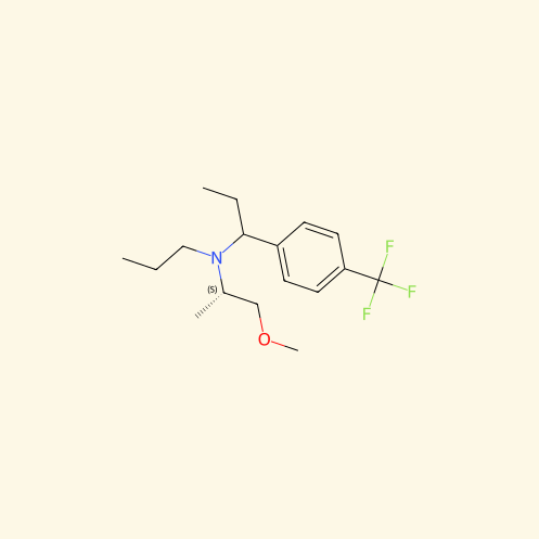 CCCN(C(CC)c1ccc(C(F)(F)F)cc1)[C@@H](C)COC